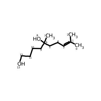 CC(C)=CCCC(C)(O)CCCCO